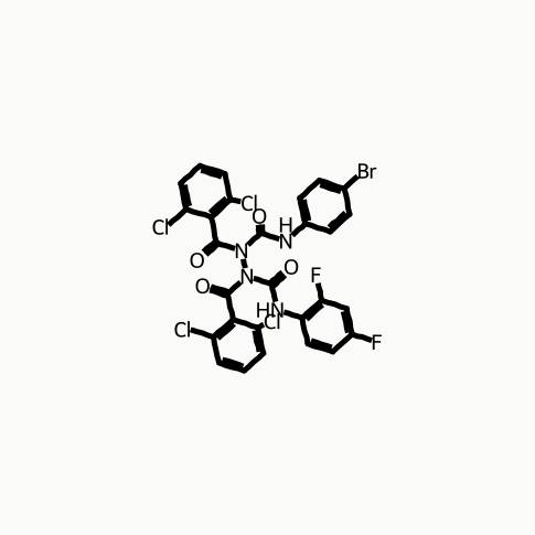 O=C(Nc1ccc(Br)cc1)N(C(=O)c1c(Cl)cccc1Cl)N(C(=O)Nc1ccc(F)cc1F)C(=O)c1c(Cl)cccc1Cl